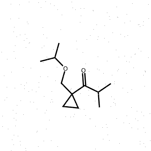 CC(C)OCC1(C(=O)C(C)C)CC1